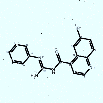 CC(C)c1ccc2nccc(C(=O)NC(N)=Nc3ccccc3)c2c1